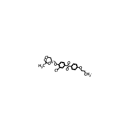 [CH2][CH]COc1ccc(S(=O)(=O)c2ccc(OC[C@@H](CCl)OC(C)=O)c(Cl)c2)cc1